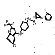 O=C(NC1CCC(Nc2cc(C(F)(F)F)nc3ccc(Cl)cc23)CC1)[C@@H]1C[C@H]1c1ccccc1F